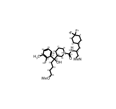 CNCC(CC1CCC(F)(F)CC1)NC(=O)N1CCCC(C(O)(CCCCOC)c2cccc(C)c2F)C1